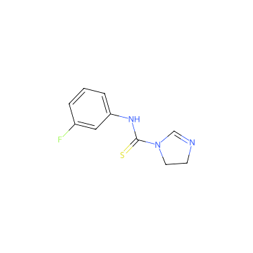 Fc1cccc(NC(=S)N2C=NCC2)c1